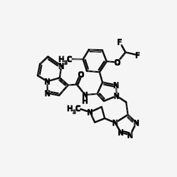 Cc1ccc(OC(F)F)c(-c2nn(Cc3nnnn3C3CN(C)C3)cc2NC(=O)c2cnn3cccnc23)c1